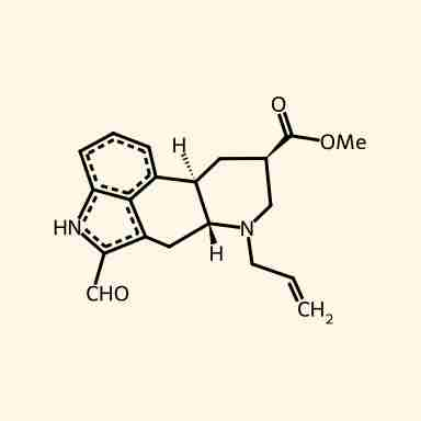 C=CCN1C[C@H](C(=O)OC)C[C@@H]2c3cccc4[nH]c(C=O)c(c34)C[C@H]21